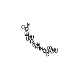 CC1(C)[C@H](NC(=O)c2ccc(N3CCN(CC4(C#N)CN(c5ccc6c(c5)C(=O)N(C5CCC(=O)NC5=O)C6=O)C4)CC3)cc2)C(C)(C)[C@H]1Oc1ccc(C#N)c(Cl)c1